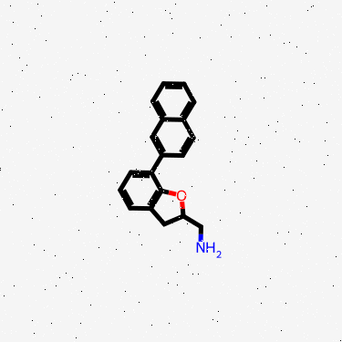 NCC1Cc2cccc(-c3ccc4ccccc4c3)c2O1